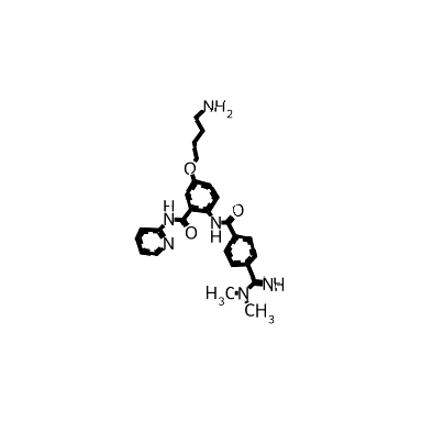 CN(C)C(=N)c1ccc(C(=O)Nc2ccc(OCCCCN)cc2C(=O)Nc2ccccn2)cc1